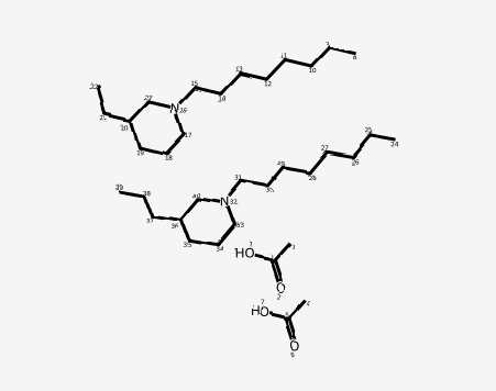 CC(=O)O.CC(=O)O.CCCCCCCCN1CCCC(CC)C1.CCCCCCCCN1CCCC(CCC)C1